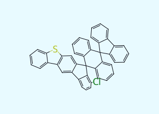 Clc1cccc2c1C1(c3cc4sc5ccccc5c4cc3-2)c2ccccc2C2(c3ccccc3-c3ccccc32)c2ccccc21